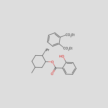 CC1CCC(C(C)C)C(OC(=O)c2ccccc2O)C1.CCOC(=O)c1ccccc1C(=O)OCC